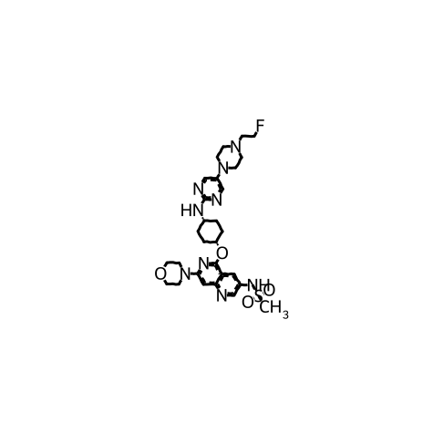 CS(=O)(=O)Nc1cnc2cc(N3CCOCC3)nc(O[C@H]3CC[C@@H](Nc4ncc(N5CCN(CCF)CC5)cn4)CC3)c2c1